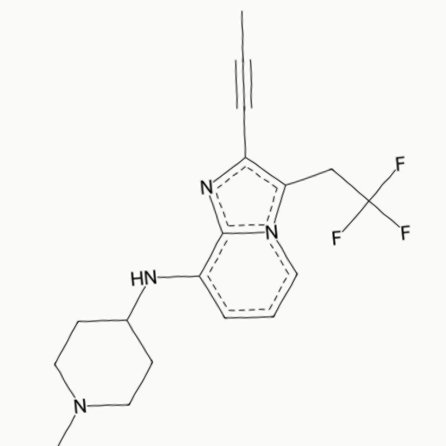 CC#Cc1nc2c(NC3CCN(C)CC3)cccn2c1CC(F)(F)F